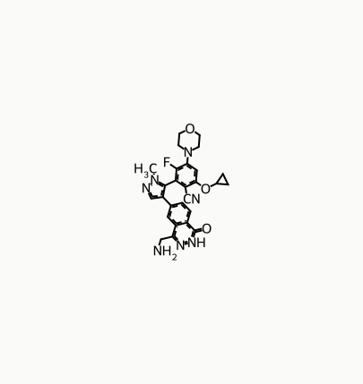 Cn1ncc(-c2ccc3c(=O)[nH]nc(CN)c3c2)c1-c1c(F)c(N2CCOCC2)cc(OC2CC2)c1C#N